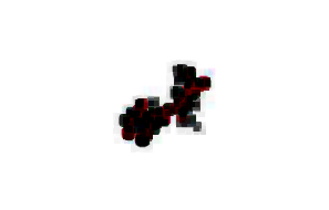 CC(C)CC(NC(=O)C(Cc1ccccc1)NC(=O)CNC(=O)OC(C)(C)C)C(=O)NCC(=O)NC(CCCCN)C(=O)NCCOCCOCC(=O)NC(CCC(=O)NC(CCC(=O)OCc1ccccc1)C(=O)OCc1ccccc1)C(=O)NC(CCC(=O)OCc1ccccc1)C(=O)OCc1ccccc1